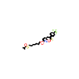 C=C(C)C(=O)SCCCCCCCOc1ccc2cc(-c3ccc(C(F)(F)F)cc3)c(=S)oc2n1